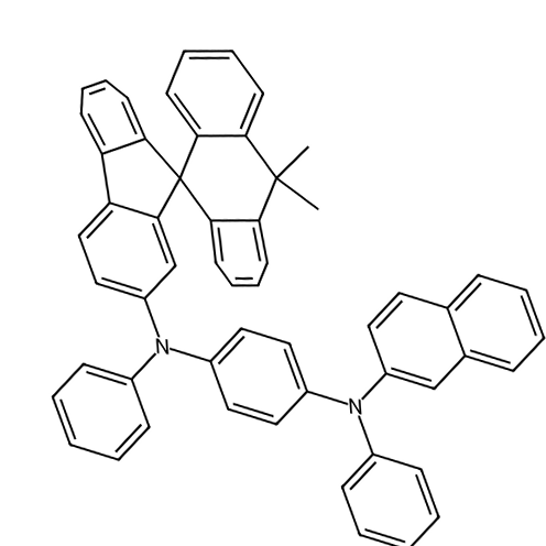 CC1(C)c2ccccc2C2(c3ccccc3-c3ccc(N(c4ccccc4)c4ccc(N(c5ccccc5)c5ccc6ccccc6c5)cc4)cc32)c2ccccc21